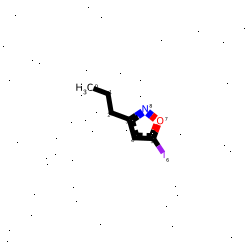 CCCc1cc(I)on1